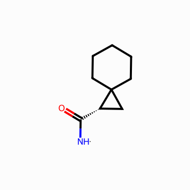 [NH]C(=O)[C@H]1CC12CCCCC2